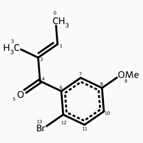 CC=C(C)C(=O)c1cc(OC)ccc1Br